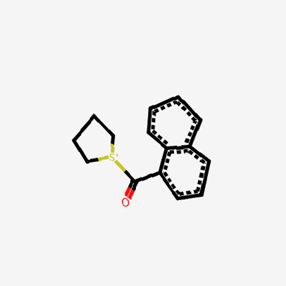 O=C(c1cccc2ccccc12)[S+]1CCCC1